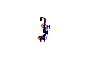 CC(C)CCCCCC(=O)NCCCn1cc(CCCCNC(=O)C(C)C)nn1